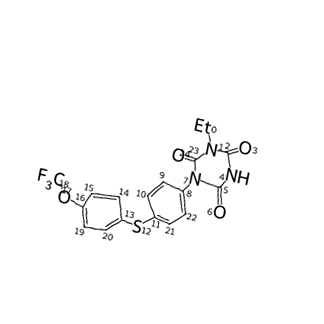 CCn1c(=O)[nH]c(=O)n(-c2ccc(Sc3ccc(OC(F)(F)F)cc3)cc2)c1=O